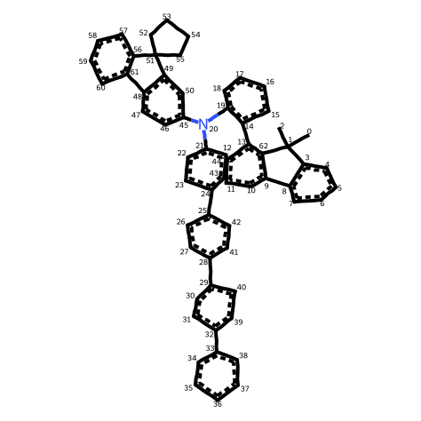 CC1(C)c2ccccc2-c2cccc(-c3ccccc3N(c3ccc(-c4ccc(-c5ccc(-c6ccccc6)cc5)cc4)cc3)c3ccc4c(c3)C3(CCCC3)c3ccccc3-4)c21